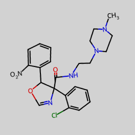 CN1CCN(CCNC(=O)C2(c3ccccc3Cl)N=COC2c2ccccc2[N+](=O)[O-])CC1